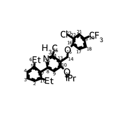 CCc1cccc(CC)c1-c1cc(OC(C)C)c(COc2ccc(C(F)(F)F)cc2Cl)c(C)n1